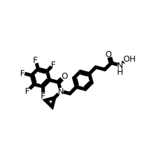 O=C(CCc1ccc(CN(C(=O)c2c(F)c(F)c(F)c(F)c2F)C2CC2)cc1)NO